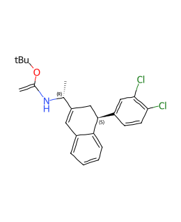 C=C(N[C@H](C)C1=Cc2ccccc2[C@H](c2ccc(Cl)c(Cl)c2)C1)OC(C)(C)C